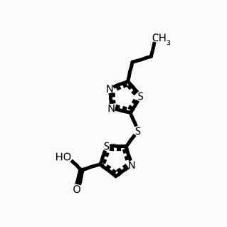 CCCc1nnc(Sc2ncc(C(=O)O)s2)s1